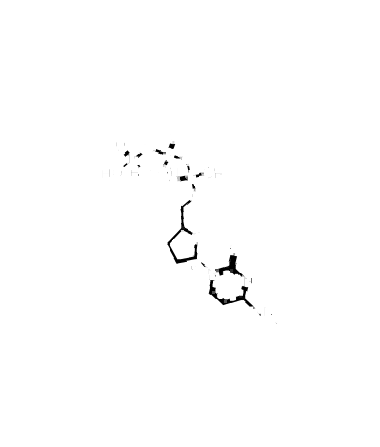 Nc1ccn([C@H]2CCC(COP(=O)(O)OP(=O)(O)OP(=O)(O)O)O2)c(=O)n1